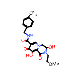 COCCN1C(=O)c2c(O)c(=O)c(C(=O)NCc3ccc(C(F)(F)F)cc3)cn2CC1O